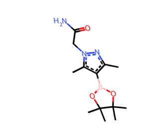 Cc1nn(CC(N)=O)c(C)c1B1OC(C)(C)C(C)(C)O1